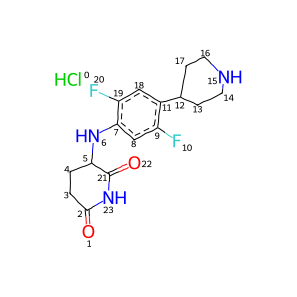 Cl.O=C1CCC(Nc2cc(F)c(C3CCNCC3)cc2F)C(=O)N1